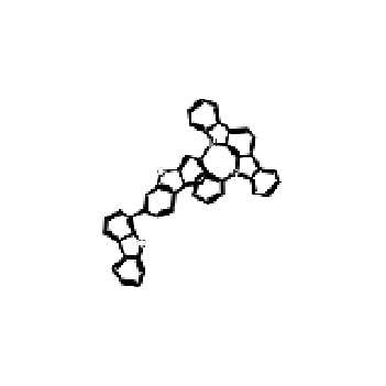 c1ccc(-n2c3ccccc3c3ccc4c5ccccc5n(-c5ccc6c(c5)oc5cc(-c7cccc8c7oc7ccccc78)ccc56)c4c32)cc1